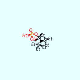 CC[Si](CC)(CC)C([Si](CC)(CC)CC)[Si](C)(C)OP(=O)(O)O